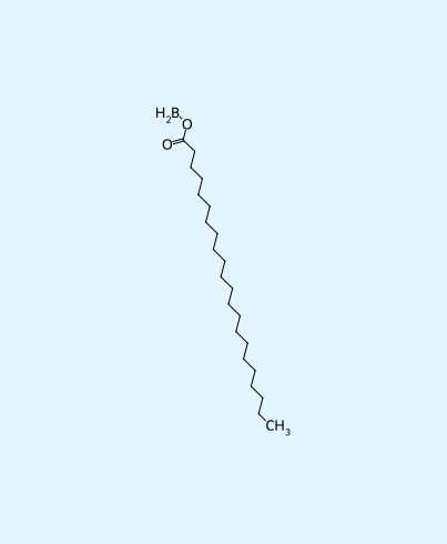 BOC(=O)CCCCCCCCCCCCCCCCCCCCC